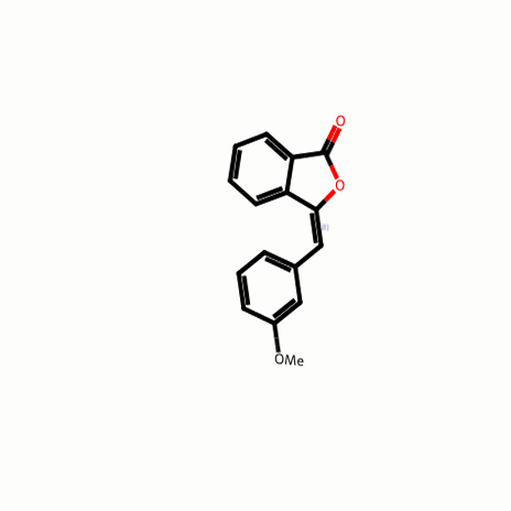 COc1cccc(/C=C2/OC(=O)c3ccccc32)c1